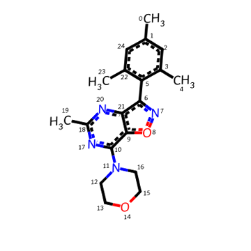 Cc1cc(C)c(-c2noc3c(N4CCOCC4)nc(C)nc23)c(C)c1